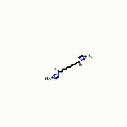 CN1C=CN(C(Br)CCCCCCCCC(Br)N2C=CN(C)C2)C1